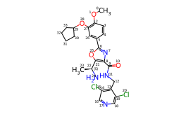 COc1ccc(-c2nc(C(=O)NCc3c(Cl)cncc3Cl)c([C@H](C)N)o2)cc1OC1CCCC1